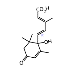 CC(=CC(=O)O)/C=C/C1(O)C(C)=CC(=O)CC1(C)C